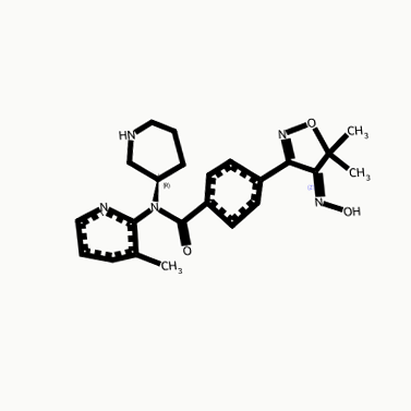 Cc1cccnc1N(C(=O)c1ccc(C2=NOC(C)(C)/C2=N\O)cc1)[C@@H]1CCCNC1